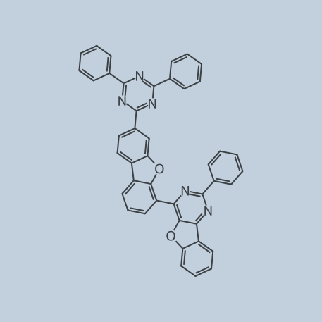 c1ccc(-c2nc(-c3ccccc3)nc(-c3ccc4c(c3)oc3c(-c5nc(-c6ccccc6)nc6c5oc5ccccc56)cccc34)n2)cc1